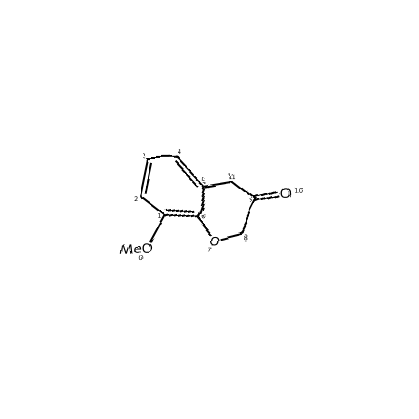 COc1cccc2c1OCC(=O)C2